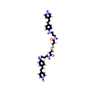 CN(CCCN(C)c1ccc(/C=C/c2cc[n+](C)cc2)cc1)C(=O)CCSSCCC(=O)N(C)CCCN(C)c1ccc(/C=C/c2cc[n+](C)cc2)cc1